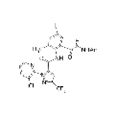 CC(=O)NNC(=O)c1cc(I)cc(C)c1NC(=O)c1cc(C(F)(F)F)nn1-c1ncccc1Cl